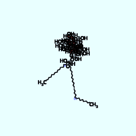 CCCCCCCC/C=C\CCCCCCCCCCCCCCCC(=O)N[C@@H](CO[C@@H]1OC(CO)[C@@H](O[C@@H]2OC(CO)[C@H](O)[C@H](O[C@@H]3OC(CO)[C@@H](O[C@@H]4OC(CO)[C@H](O)[C@H](O[C@H]5OC(CO)[C@H](O)[C@H](O)C5O)C4O[C@H]4OC(C)[C@@H](O)C(O)[C@@H]4O)[C@H](O[C@H]4OC(C)[C@@H](O)C(O)[C@@H]4O)C3NC(C)=O)C2O)[C@H](O)C1O)[C@H](O)/C=C/CCCCCCCCCCCCC